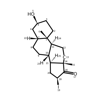 C[C@]12CC[C@H](O)C[C@H]1CC[C@@H]1[C@@H]2CC[C@]2(C)C(=O)[C@@H](I)C[C@@H]12